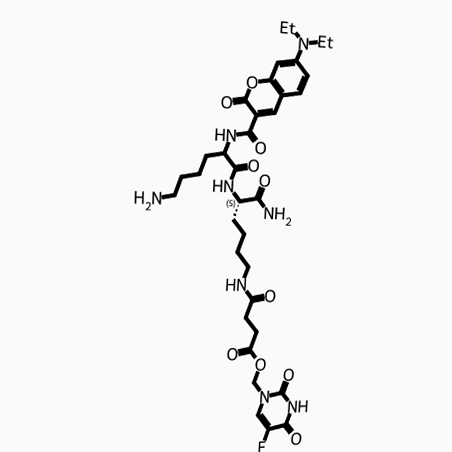 CCN(CC)c1ccc2cc(C(=O)NC(CCCCN)C(=O)N[C@@H](CCCCNC(=O)CCC(=O)OCn3cc(F)c(=O)[nH]c3=O)C(N)=O)c(=O)oc2c1